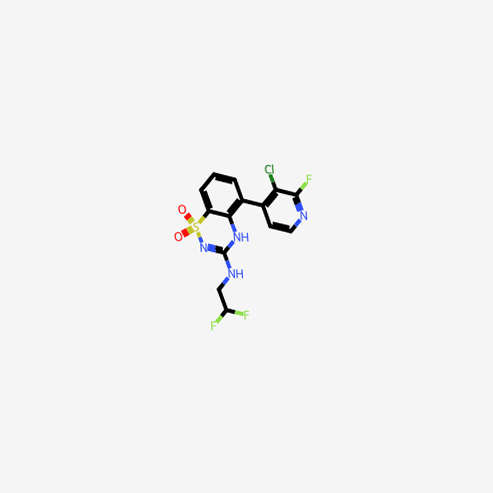 O=S1(=O)N=C(NCC(F)F)Nc2c(-c3ccnc(F)c3Cl)cccc21